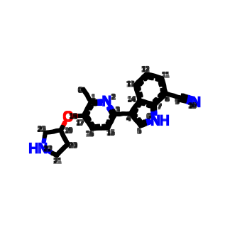 Cc1nc(-c2c[nH]c3c(C#N)cccc23)ccc1OC1CCNC1